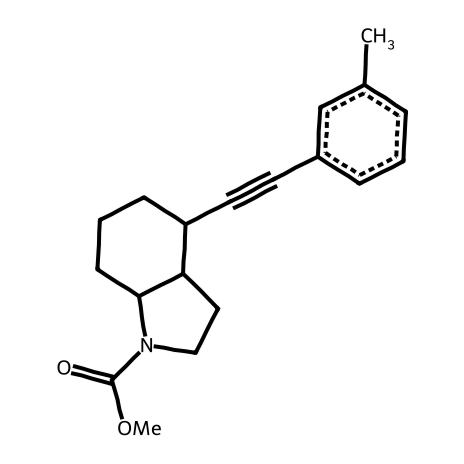 COC(=O)N1CCC2C(C#Cc3cccc(C)c3)CCCC21